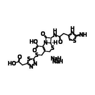 N=c1[nH]c(CC(=O)NC2C(=O)N3C(C(=O)O)=C(CSc4nnc(CC(=O)O)s4)CS[C@H]23)cs1.[NaH].[NaH]